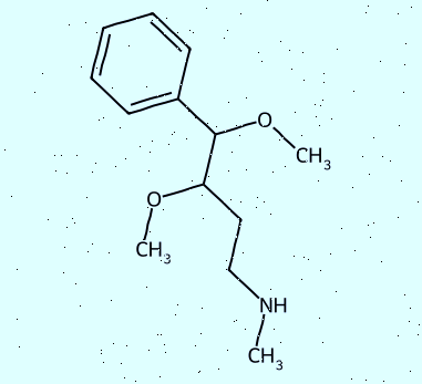 CNCCC(OC)C(OC)c1ccccc1